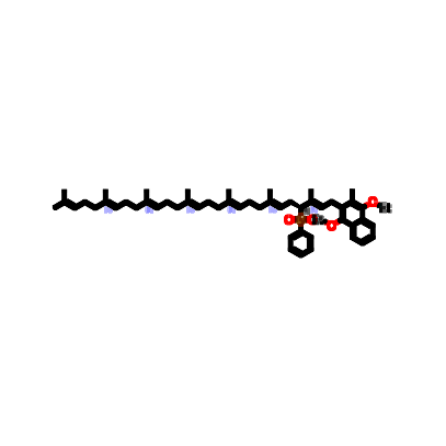 CCOc1c(C)c(C/C=C(\C)[C@H](C/C=C(\C)CC/C=C(\C)CC/C=C(\C)CC/C=C(\C)CC/C=C(\C)CCC=C(C)C)S(=O)(=O)c2ccccc2)c(OCC)c2ccccc12